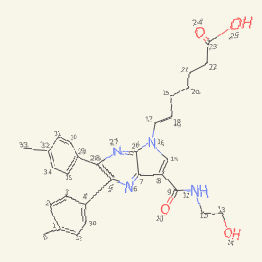 Cc1ccc(-c2nc3c(C(=O)NCCO)cn(CCCCCCC(=O)O)c3nc2-c2ccc(C)cc2)cc1